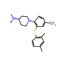 Cc1ccc(Sc2cc(C(F)(F)F)ccc2N2CCC(N(C)C)CC2)c(C)c1